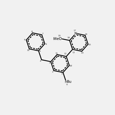 CCCCc1cc(Cc2ccccc2)cc(-c2cccnc2OC)c1